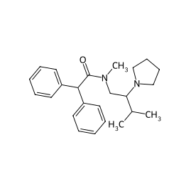 CC(C)C(CN(C)C(=O)C(c1ccccc1)c1ccccc1)N1CCCC1